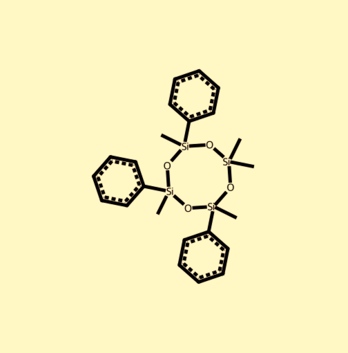 C[Si]1(C)O[Si](C)(c2ccccc2)O[Si](C)(c2ccccc2)O[Si](C)(c2ccccc2)O1